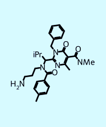 CNC(=O)c1c(C)nc(C(C(C)C)N(CCCN)C(=O)c2ccc(C)cc2)n(Cc2ccccc2)c1=O